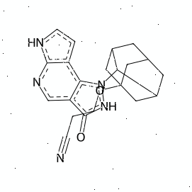 N#CCCOC12CC3CC(C1)C(n1[nH]c(=O)c4cnc5[nH]ccc5c41)C(C3)C2